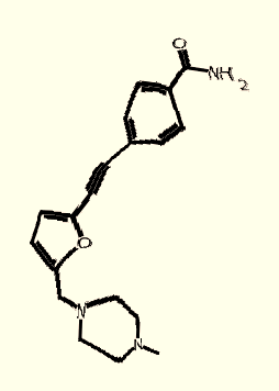 CN1CCN(Cc2ccc(C#Cc3ccc(C(N)=O)cc3)o2)CC1